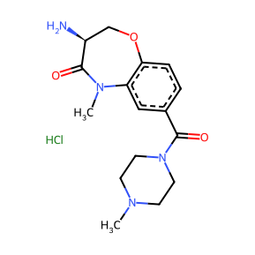 CN1CCN(C(=O)c2ccc3c(c2)N(C)C(=O)[C@@H](N)CO3)CC1.Cl